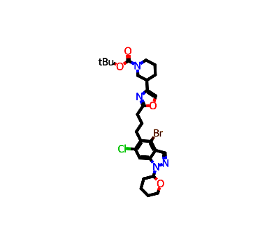 CC(C)(C)OC(=O)N1CCCC(c2coc(CCCc3c(Cl)cc4c(cnn4C4CCCCO4)c3Br)n2)C1